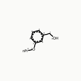 CCCOc1cccc(CO)c1